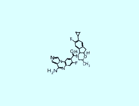 C[C@H]1CN(C(=O)c2cc3c(cc2F)nc(N)c2cncn23)[C@H]2c3cc(F)c(C4CC4)cc3C[C@H]2O1